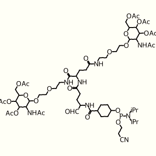 CC(=O)NC1C(OCCOCCNC(=O)CCC(NC(=O)CCC(C=O)NC(=O)C2CCC(OP(OCCC#N)N(C(C)C)C(C)C)CC2)C(=O)NCCOCCOC2OC(COC(C)=O)C(OC(C)=O)C(OC(C)=O)C2NC(C)=O)OC(COC(C)=O)C(OC(C)=O)C1OC(C)=O